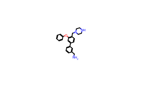 NCc1cccc(-c2ccc(CN3CCNCC3)c(Oc3ccccc3)c2)c1